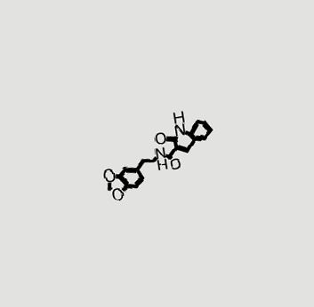 O=C(NCCc1ccc2c(c1)OCO2)c1cc2ccccc2[nH]c1=O